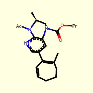 CC(=O)N1c2ncc(C3=C(C)CCCC=C3)cc2N(C(=O)OC(C)C)C[C@@H]1C